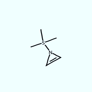 CS(C)(C)N1C=C1